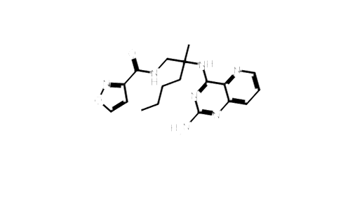 CCCCC(C)(CNC(=O)c1ccon1)Nc1nc(N)nc2cccnc12